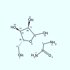 NCC(N)=O.OC[C@H]1OC(O)[C@H](O)[C@@H]1O